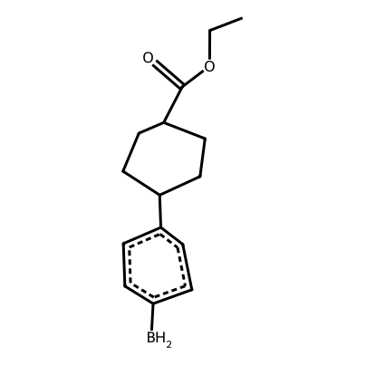 Bc1ccc(C2CCC(C(=O)OCC)CC2)cc1